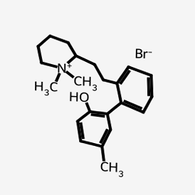 Cc1ccc(O)c(-c2ccccc2CCC2CCCC[N+]2(C)C)c1.[Br-]